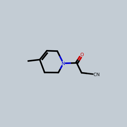 CC1=CCN(C(=O)CC#N)CC1